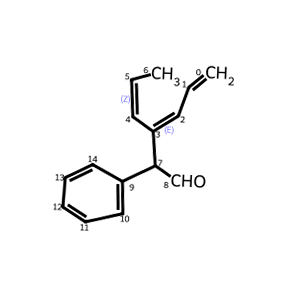 C=C/C=C(\C=C/C)C(C=O)c1ccccc1